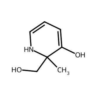 CC1(CO)NC=CC=C1O